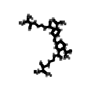 C=C(C)C(=O)OCCOC(=O)c1cc(Oc2ccc(C(N)=O)c(C(=O)OCCOC(=O)C(=C)C)c2)ccc1C(C)=O